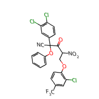 N#CC(Oc1ccccc1)(C(=O)C(COc1ccc(C(F)(F)F)cc1Cl)[N+](=O)[O-])c1ccc(Cl)c(Cl)c1